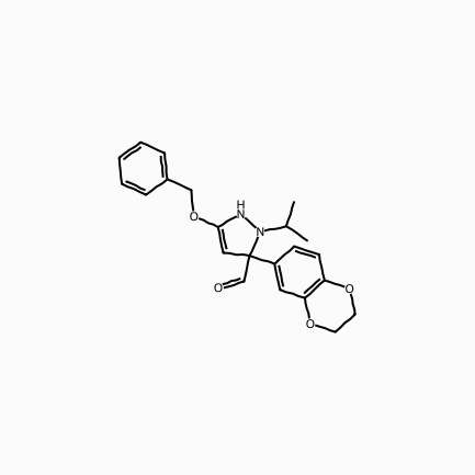 CC(C)N1NC(OCc2ccccc2)=CC1(C=O)c1ccc2c(c1)OCCO2